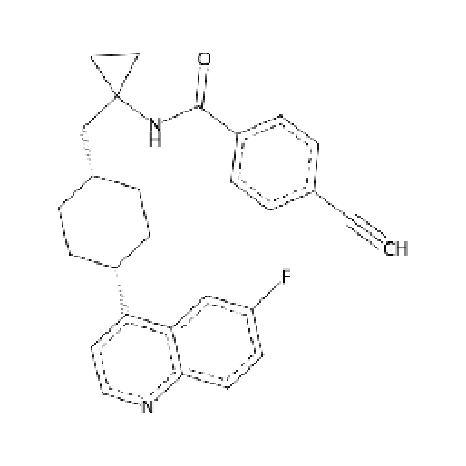 C#Cc1ccc(C(=O)NC2(C[C@H]3CC[C@@H](c4ccnc5ccc(F)cc54)CC3)CC2)cc1